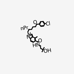 CCCC(CCCC(=O)c1ccc(Cl)cc1)Cn1cc2c(C)c(C(=O)NCCC(C)(C)O)ccc2n1